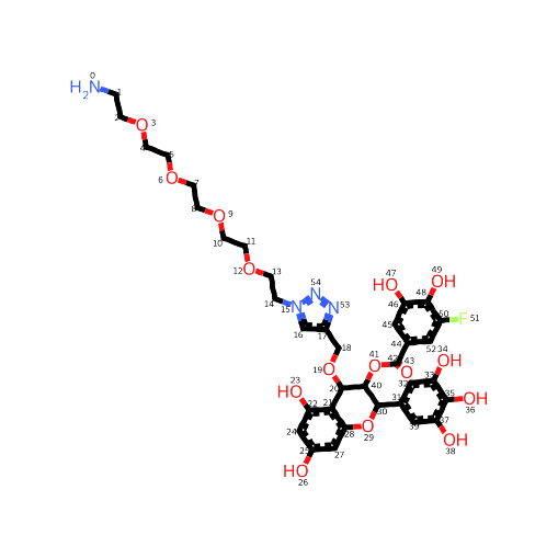 NCCOCCOCCOCCOCCn1cc(COC2c3c(O)cc(O)cc3OC(c3cc(O)c(O)c(O)c3)C2OC(=O)c2cc(O)c(O)c(F)c2)nn1